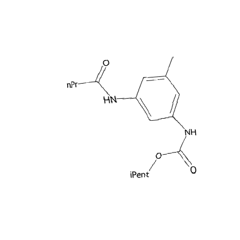 CCCC(=O)Nc1cc(C)cc(NC(=O)OC(C)CCC)c1